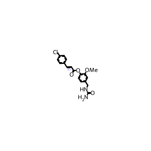 COc1cc(CNC(N)=O)ccc1OC(=O)/C=C/c1ccc(Cl)cc1